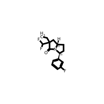 CCC1(C(F)F)C[C@@H]2CC[C@@H](c3cccc(F)c3)N2C1=O